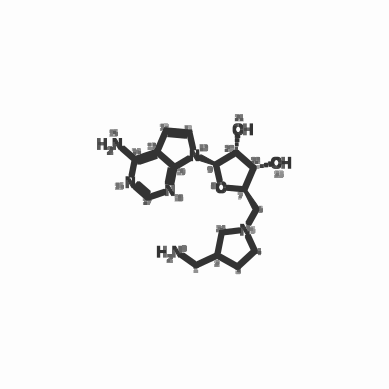 NCC1CCN(C[C@H]2O[C@@H](n3ccc4c(N)ncnc43)[C@H](O)[C@@H]2O)C1